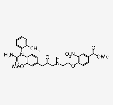 COC(=O)c1ccc(OCCNCC(=O)Cc2ccc(N(C(N)=O)c3ccccc3C)c(OC)c2)c([N+](=O)[O-])c1